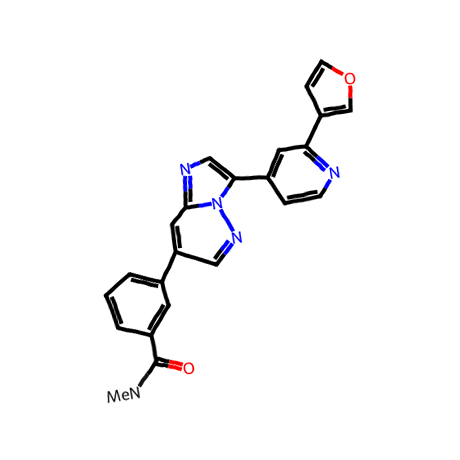 CNC(=O)c1cccc(-c2cnn3c(-c4ccnc(-c5ccoc5)c4)cnc3c2)c1